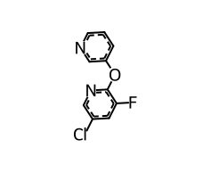 Fc1cc(Cl)cnc1Oc1cccnc1